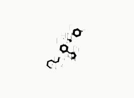 Cn1ncc(Br)c1-c1cc(NC(=O)Nc2ccc(F)cc2F)ccc1OCCC1CCCCN1